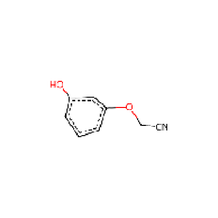 N#CCOc1cccc(O)c1